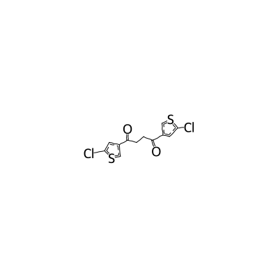 O=C(CCC(=O)c1csc(Cl)c1)c1csc(Cl)c1